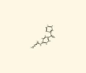 O=C(c1ccccc1)c1ccc(CN=C=S)cc1